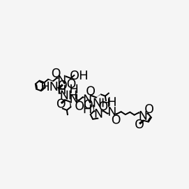 CC(C)C[C@H](NC(=O)CNC(=O)[C@H](CC(C)C)NC(=O)[C@@H]1CCCN1C(=O)CNC(=O)CCCCCN1C(=O)C=CC1=O)C(=O)NCC(=O)N[C@@H](Cc1ccccc1)C(=O)NCC(=O)O